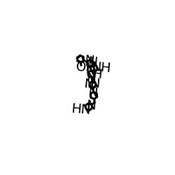 Oc1ccccc1-c1cc2c(nn1)NC[C@H]1CN(c3ncc(N4CCC(CN5CCNCC5)CC4)cn3)CCN21